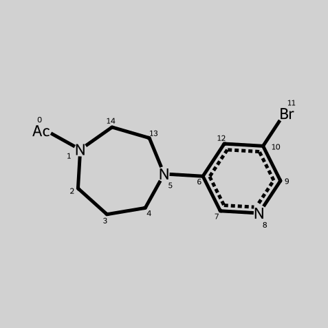 CC(=O)N1CCCN(c2cncc(Br)c2)CC1